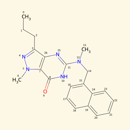 CCCc1nn(C)c2c(=O)[nH]c(N(C)Cc3cccc4ccccc34)nc12